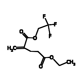 C=C(CCC(=O)OCC)C(=O)OCC(F)(F)F